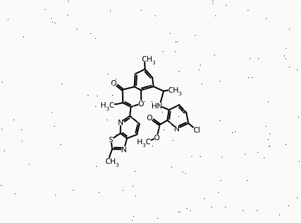 COC(=O)c1nc(Cl)ccc1NC(C)c1cc(C)cc2c(=O)c(C)c(-c3ccc4nc(C)sc4n3)oc12